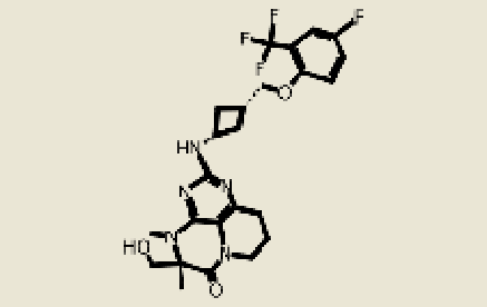 CN1c2nc(N[C@H]3C[C@@H](COc4ccc(F)cc4C(F)(F)F)C3)nc3c2N(CCC3)C(=O)[C@]1(C)CO